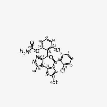 CCc1cc(C(=O)c2ccccc2Cl)c(-n2c(C)nnc2Cc2c(Cl)cccc2OC(N)=O)s1